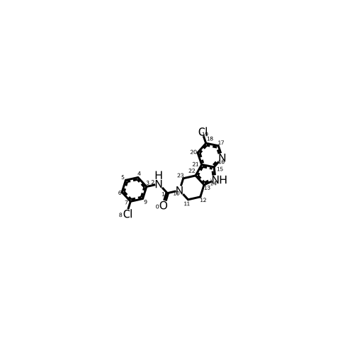 O=C(Nc1cccc(Cl)c1)N1CCc2[nH]c3ncc(Cl)cc3c2C1